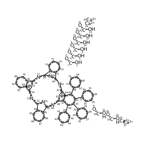 O=[C-]O.O=[C-]O.O=[C-]O.O=[C-]O.O=[C-]O.O=[C-]O.O=[C-]O.O=[C-]O.[Ca+2].[Ca+2].[Ca+2].[Ca+2].c1ccc(-c2c(-c3ccccc3)c(-c3ccccc3)c3c4nc5nc(nc6[nH]c(nc7nc(nc([nH]4)c3c2-c2ccccc2)-c2ccccc2-7)c2ccccc62)-c2ccccc2-5)cc1